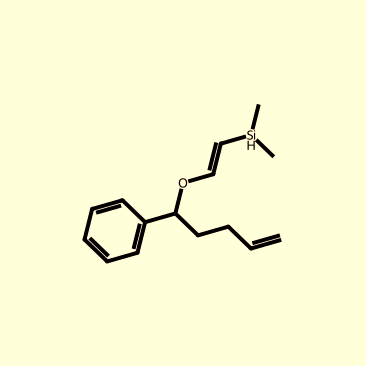 C=CCCC(OC=C[SiH](C)C)c1ccccc1